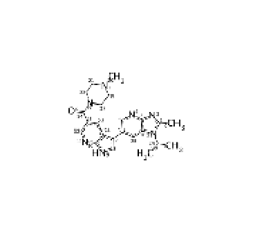 Cc1nc2ncc(-c3c[nH]c4ncc(C(=O)N5CCN(C)CC5)cc34)cc2n1C(C)C